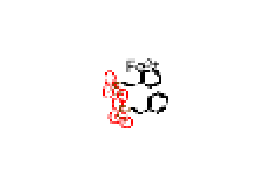 O=S(=O)([O-])C=Cc1ccccc1.O=S(=O)([O-])C=Cc1ccccc1.[Fe+2]